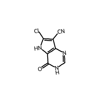 N#Cc1c(Cl)[nH]c2c(=O)[nH]cnc12